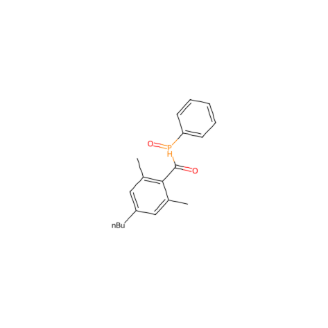 CCCCc1cc(C)c(C(=O)[PH](=O)c2ccccc2)c(C)c1